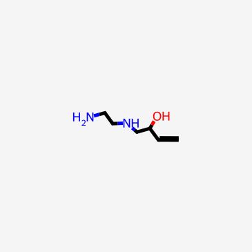 C=CC(O)CNCCN